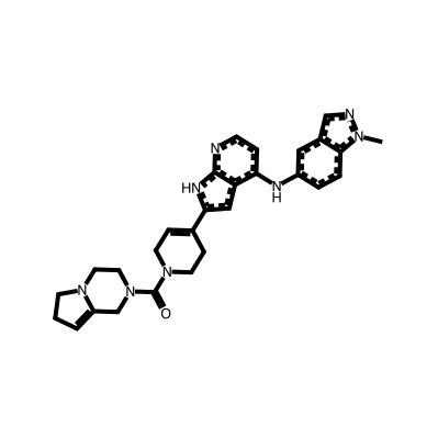 Cn1ncc2cc(Nc3ccnc4[nH]c(C5=CCN(C(=O)N6CCN7CCC=C7C6)CC5)cc34)ccc21